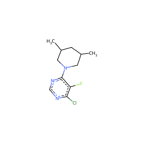 CC1CC(C)CN(c2ncnc(Cl)c2F)C1